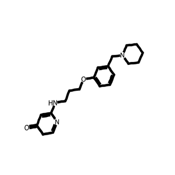 O=C1C=C(NCCCOc2cccc(CN3CCCCC3)c2)N=CC1